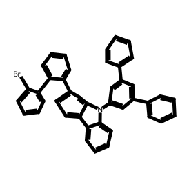 Brc1ccccc1-c1ccccc1-c1ccc2c3ccccc3n(-c3cc(-c4ccccc4)cc(-c4ccccc4)c3)c2c1